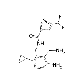 NCc1c(N)ccc(C2CC2)c1CNC(=O)c1csc(C(F)F)c1